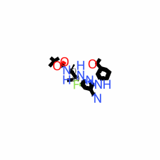 CC[C@@H](Nc1nc(Nc2cccc(C(C)=O)c2)c(C#N)cc1F)[C@H](C)NC(=O)OC(C)(C)C